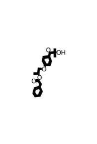 CC(COc1ccc(C(=O)C(C)(C)O)cc1)OC(=O)Cc1ccccc1